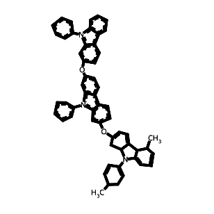 CC1C=CC(N2C3=CC=CC(C)C3C3=CC=C(Oc4ccc5c6ccc(Oc7ccc8c9ccccc9n(-c9ccccc9)c8c7)cc6n(-c6ccccc6)c5c4)CC32)=CC1